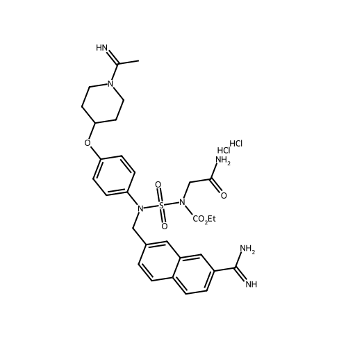 CCOC(=O)N(CC(N)=O)S(=O)(=O)N(Cc1ccc2ccc(C(=N)N)cc2c1)c1ccc(OC2CCN(C(C)=N)CC2)cc1.Cl.Cl